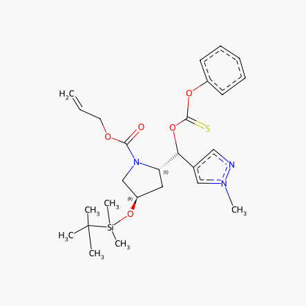 C=CCOC(=O)N1C[C@H](O[Si](C)(C)C(C)(C)C)C[C@H]1C(OC(=S)Oc1ccccc1)c1cnn(C)c1